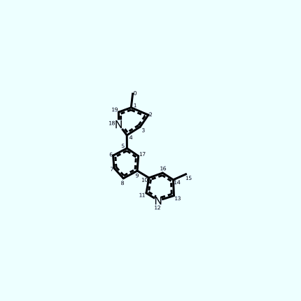 Cc1ccc(-c2cccc(-c3cncc(C)c3)c2)nc1